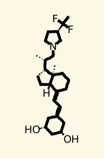 C[C@H](CN1CC[C@@H](C(C)(F)F)C1)[C@H]1CC[C@H]2/C(=C/C=C3C[C@@H](O)C[C@H](O)C3)CCC[C@]12C